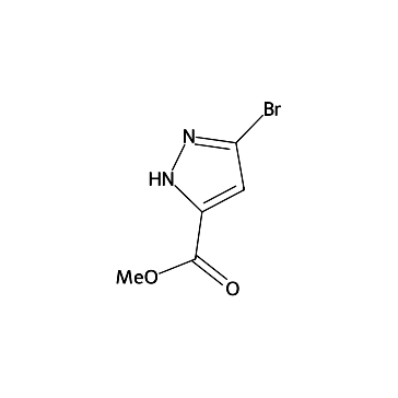 COC(=O)c1cc(Br)n[nH]1